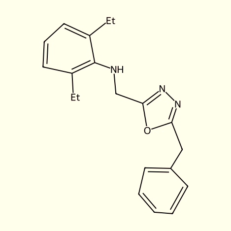 CCc1cccc(CC)c1NCc1nnc(Cc2ccccc2)o1